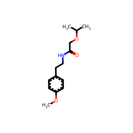 COc1ccc(CCNC(=O)COC(C)C)cc1